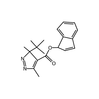 CC1=C(C(=O)OC2C=Cc3ccccc32)C(C)(C(C)(C)C)N=N1